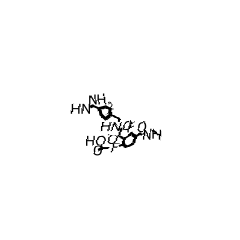 CC(=O)O.CCNC(=O)c1ccc(F)c(C(OC)C(=O)NCc2ccc(C(=N)N)cc2)c1F